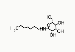 CCCCCCCCNC1O[C@H](CO)[C@@H](O)[C@H](O)[C@H]1O